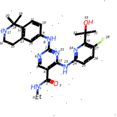 CCNC(=O)c1cnc(Nc2ccc3c(c2)CCNC3(C)C)nc1Nc1ccc(F)c(C(C)(C)O)n1